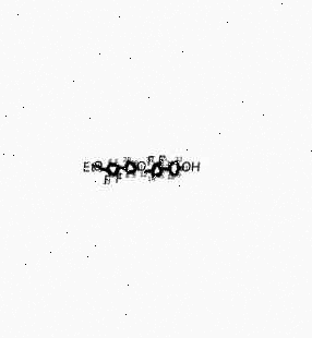 CCOCc1ccc(-c2ccc(OCc3ccc(C4CCC(O)CC4)c(F)c3F)cc2)c(F)c1F